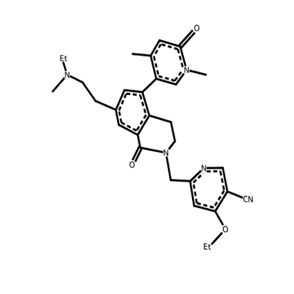 CCOc1cc(CN2CCc3c(cc(CCN(C)CC)cc3-c3cn(C)c(=O)cc3C)C2=O)ncc1C#N